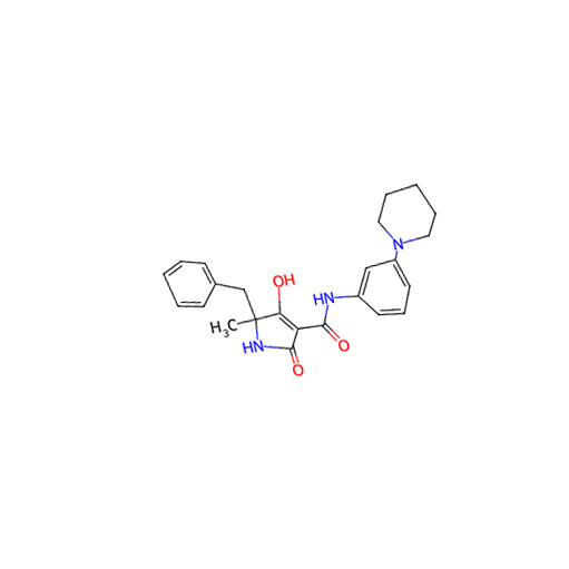 CC1(Cc2ccccc2)NC(=O)C(C(=O)Nc2cccc(N3CCCCC3)c2)=C1O